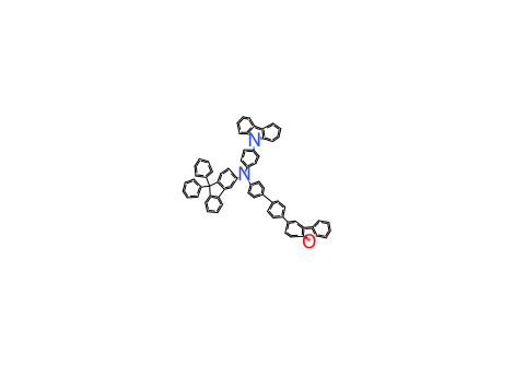 c1ccc(C2(c3ccccc3)c3ccccc3-c3cc(N(c4ccc(-c5ccc(-c6ccc7oc8ccccc8c7c6)cc5)cc4)c4ccc(-n5c6ccccc6c6ccccc65)cc4)ccc32)cc1